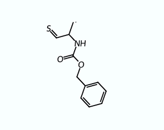 [CH2]C(C=S)NC(=O)OCc1ccccc1